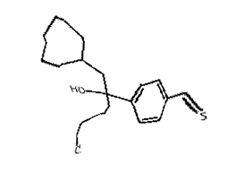 OC(CCCl)(CC1CCCCC1)c1ccc(C=S)cc1